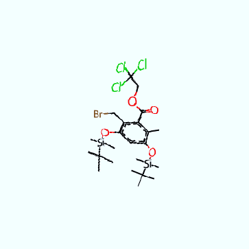 Cc1c(O[Si](C)(C)C(C)(C)C)cc(O[Si](C)(C)C(C)(C)C)c(CBr)c1C(=O)OCC(Cl)(Cl)Cl